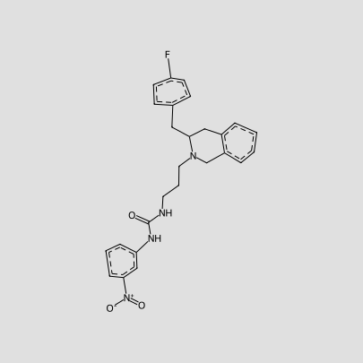 O=C(NCCCN1Cc2ccccc2CC1Cc1ccc(F)cc1)Nc1cccc([N+](=O)[O-])c1